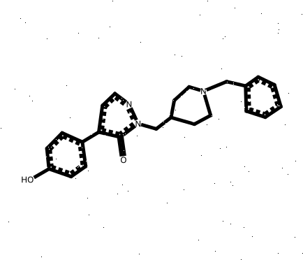 O=c1c(-c2ccc(O)cc2)ccnn1CC1CCN(Cc2ccccc2)CC1